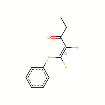 CCC(=O)/C(F)=C(/F)Sc1ccccc1